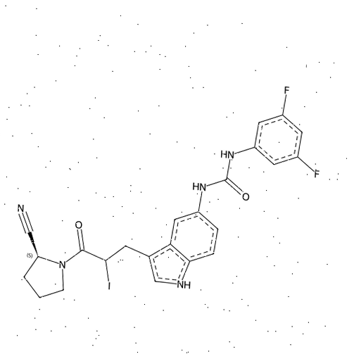 N#C[C@@H]1CCCN1C(=O)C(I)Cc1c[nH]c2ccc(NC(=O)Nc3cc(F)cc(F)c3)cc12